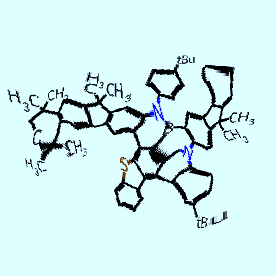 CC(C)(C)c1ccc(N2B3c4cc5c(cc4-n4c6ccc(C(C)(C)C)cc6c6c7c(sc8ccccc87)c(c3c64)-c3cc4c(cc32)C(C)(C)c2cc3c(cc2-4)C(C)(C)CCC3(C)C)C(C)(C)c2ccccc2-5)cc1